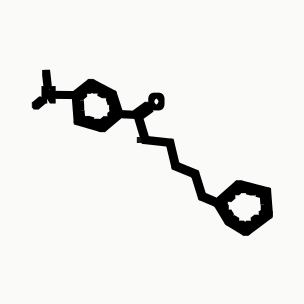 CN(C)c1ccc(C(=O)[CH]CCCCc2ccccc2)cc1